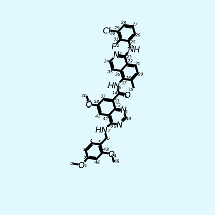 COc1ccc(CNc2ncnc3c(C(=O)Nc4c(C)ccc5c(Nc6cccc(Cl)c6F)nccc45)cc(OC)cc23)c(OC)c1